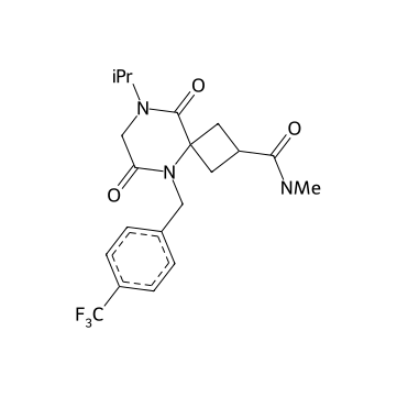 CNC(=O)C1CC2(C1)C(=O)N(C(C)C)CC(=O)N2Cc1ccc(C(F)(F)F)cc1